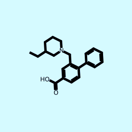 CCC1CCCN(Cc2cc(C(=O)O)ccc2-c2ccccc2)C1